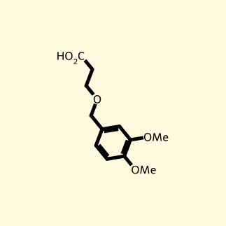 COc1ccc(COCCC(=O)O)cc1OC